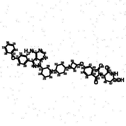 Nc1ncnc2c1c(-c1ccc(Oc3ccccc3)cc1)nn2[C@@H]1CCCN(C2CCC(N3CC(Oc4ccc5c(c4)C(=O)N(C4CCC(O)NC4=O)C5=O)C3)CC2)C1